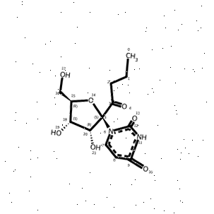 CCCC(=O)[C@@]1(n2ccc(=O)[nH]c2=O)O[C@H](CO)[C@@H](O)[C@H]1O